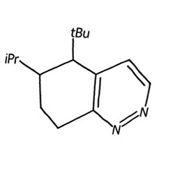 CC(C)C1CCc2nnccc2C1C(C)(C)C